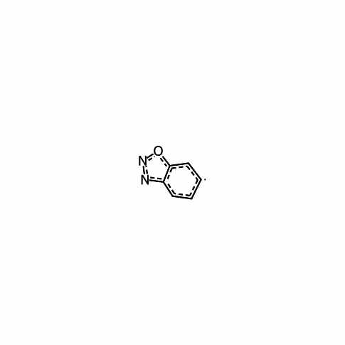 [c]1ccc2nnoc2c1